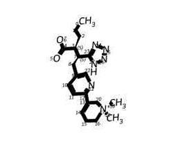 CCC[C@H](C(=O)[O-])[C@H](Cc1ccc(C2=CCC[N+](C)(C)C2)nc1)c1nnn[nH]1